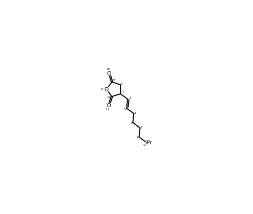 CC(C)CCCCC=CC1CC(=O)OC1=O